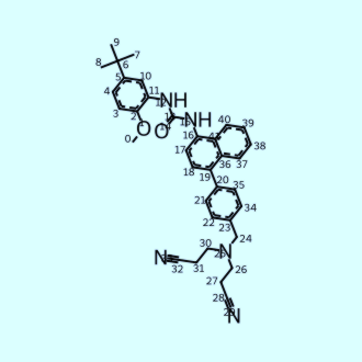 COc1ccc(C(C)(C)C)cc1NC(=O)Nc1ccc(-c2ccc(CN(CCC#N)CCC#N)cc2)c2ccccc12